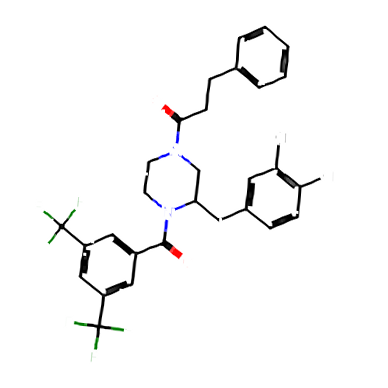 Cc1ccc(CC2CN(C(=O)CCc3ccccc3)CCN2C(=O)c2cc(C(F)(F)F)cc(C(F)(F)F)c2)cc1C